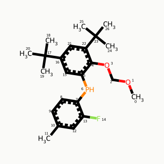 COCOc1c(Pc2ccc(C)cc2F)cc(C(C)(C)C)cc1C(C)(C)C